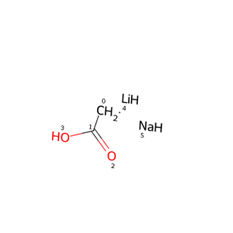 [CH2]C(=O)O.[LiH].[NaH]